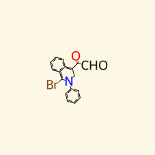 O=CC(=O)C1=c2ccccc2=C(Br)N(c2ccccc2)C1